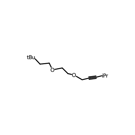 CC(C)C#CCOCCOCCC(C)(C)C